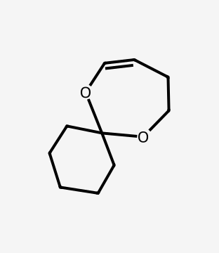 C1=COC2(CCCCC2)OCC1